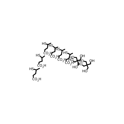 CC(S)CCC(=O)O.CC(S)CCC(=O)O.CC(S)CCC(=O)O.CC(S)CCC(=O)O.CC(S)CCC(=O)O.CC(S)CCC(=O)O.OCC(CO)(CO)CO.OCC(CO)(CO)CO